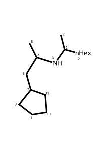 CCCCCCC(C)NC(C)CC1CCCC1